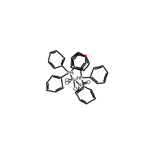 O=[N+]([O-])[Ru]([Cl])([Cl])([Cl])([PH](c1ccccc1)(c1ccccc1)c1ccccc1)[PH](c1ccccc1)(c1ccccc1)c1ccccc1